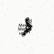 COc1cc(-c2cccc(-c3cccc(-c4ccc(CNC[C@@H]5CCC(=O)N5)c(OC)n4)c3Cl)c2Cl)cc(F)c1CNC[C@@H]1CCC(=O)N1